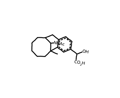 CC(=O)NC1C2CCCCCC1(C)c1cc(C(O)C(=O)O)ccc1C2